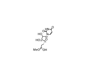 COP(O)CC[C@H]1O[C@@H](n2ccc(=O)[nH]c2=O)C(O)[C@H]1O